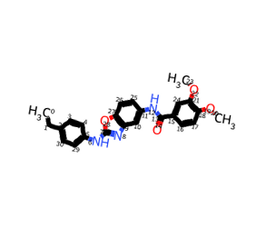 CCc1ccc(Nc2nc3cc(NC(=O)c4ccc(OC)c(OC)c4)ccc3o2)cc1